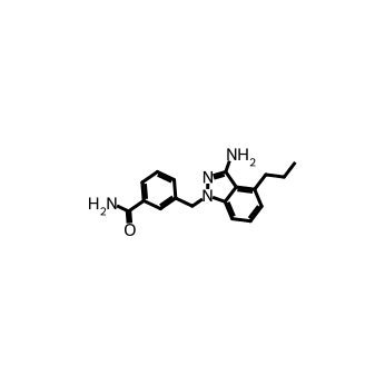 CCCc1cccc2c1c(N)nn2Cc1cccc(C(N)=O)c1